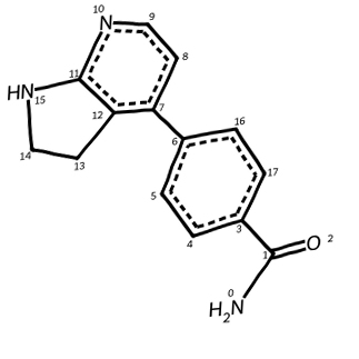 NC(=O)c1ccc(-c2ccnc3c2CCN3)cc1